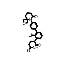 O=C1CCC(c2cccc(-c3ccc(N4C(=O)CCCC45COC5)cc3)c2Cl)C(=O)N1